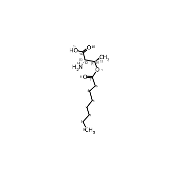 CCCCCCCC(=O)O[C@H](C)[C@H](N)C(=O)O